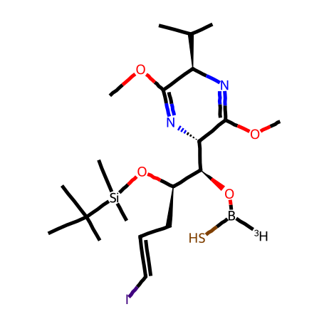 [3H]B(S)O[C@H]([C@@H]1N=C(OC)[C@@H](C(C)C)N=C1OC)[C@@H](C/C=C/I)O[Si](C)(C)C(C)(C)C